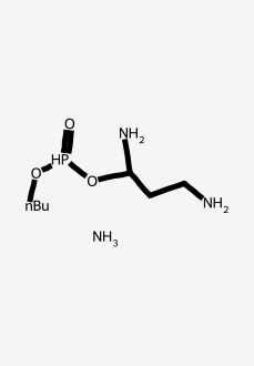 CCCCO[PH](=O)OC(N)CCN.N